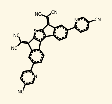 N#CC(C#N)=C1c2cc(-c3ccc(C#N)cn3)ccc2-c2c1sc1c2-c2ccc(-c3ccc(C#N)cn3)cc2C1=C(C#N)C#N